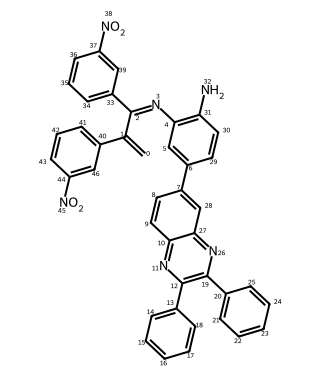 C=C(/C(=N\c1cc(-c2ccc3nc(-c4ccccc4)c(-c4ccccc4)nc3c2)ccc1N)c1cccc([N+](=O)[O-])c1)c1cccc([N+](=O)[O-])c1